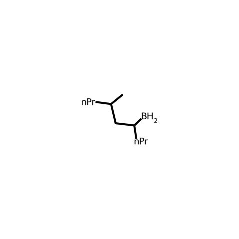 BC(CCC)CC(C)CCC